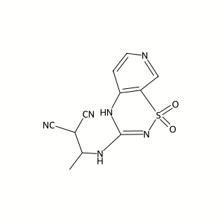 CC(NC1=NS(=O)(=O)c2cnccc2N1)C(C#N)C#N